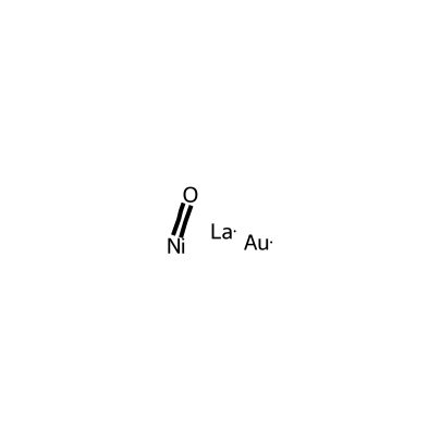 [Au].[La].[O]=[Ni]